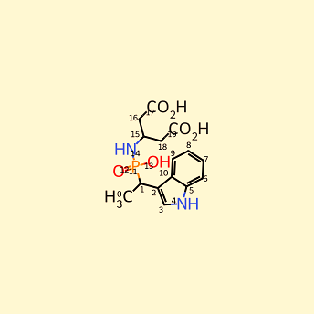 CC(c1c[nH]c2ccccc12)P(=O)(O)NC(CC(=O)O)CC(=O)O